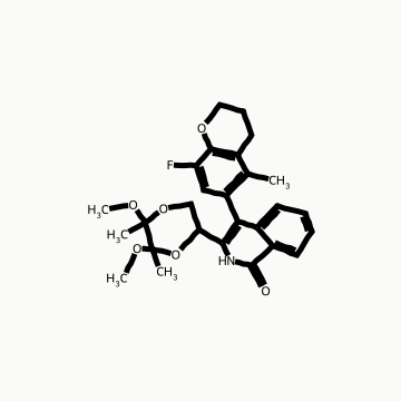 COC1(C)OCC(c2[nH]c(=O)c3ccccc3c2-c2cc(F)c3c(c2C)CCCO3)OC1(C)OC